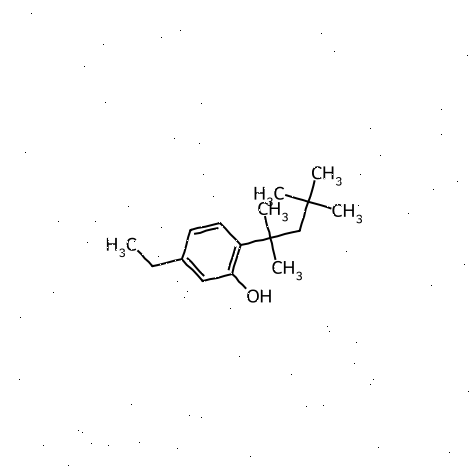 CCc1ccc(C(C)(C)CC(C)(C)C)c(O)c1